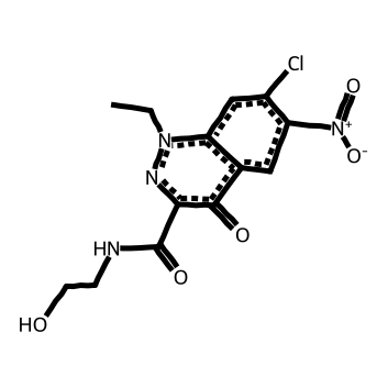 CCn1nc(C(=O)NCCO)c(=O)c2cc([N+](=O)[O-])c(Cl)cc21